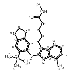 CC(C)NC(=O)OCCCn1c(Sc2cc3c(c[c]2[Sn]([CH3])([CH3])[CH3])OCO3)nc2c(N)ncnc21